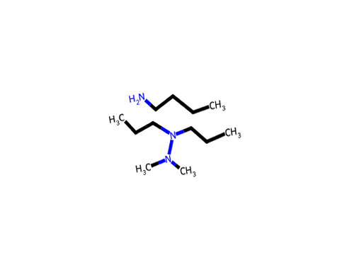 CCCCN.CCCN(CCC)N(C)C